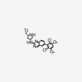 COC[C@@H]1C[C@H](Nc2ncc3cc(-c4c(Cl)c(OC)cc(OC)c4Cl)ccc3n2)CN1